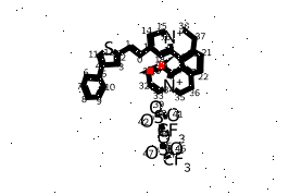 C(=Cc1cc(-c2ccccc2)cs1)c1cc[n+]2c(c1)-c1c(ccc3c1-c1c4ccccc4cc[n+]1CC3)CC2.O=S(=O)([O-])C(F)(F)F.O=S(=O)([O-])C(F)(F)F